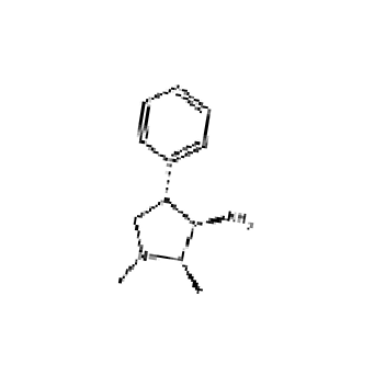 C[C@@H]1[C@H](N)[C@@H](c2ccccc2)CN1C